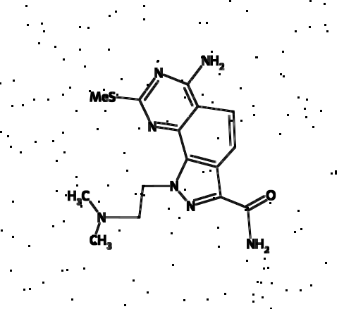 CSc1nc(N)c2ccc3c(C(N)=O)nn(CCN(C)C)c3c2n1